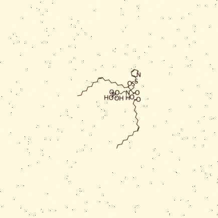 CCCCCCCC/C=C\CCCCCCCC(=O)OC(=O)C(CSSc1ccccn1)(NCCOP(=O)(O)O)C(=O)CCCCCCC/C=C\CCCCCCCC